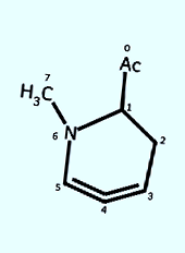 CC(=O)C1CC=C=CN1C